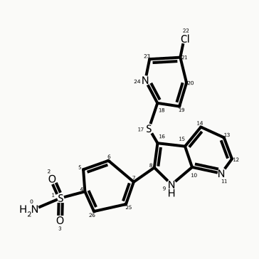 NS(=O)(=O)c1ccc(-c2[nH]c3ncccc3c2Sc2ccc(Cl)cn2)cc1